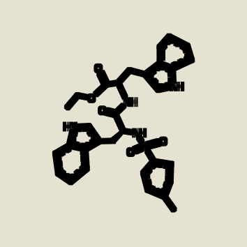 CCOC(=O)C(Cc1c[nH]c2ccccc12)NC(=O)[C@H](Cc1c[nH]c2ccccc12)NS(=O)(=O)c1ccc(C)cc1